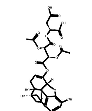 CC(=O)O[C@@H](C(=O)OC1=CC[C@@]2(O)[C@@H]3CCC[C@@]24c2c(ccc(O)c2O[C@@H]14)C3)[C@@H](OC(C)=O)C(=O)O[C@@H](CC(=O)O)C(=O)O